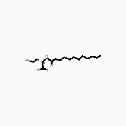 CCCCCCCCCCCC(=O)N[C@@H](CCO)C(=O)O